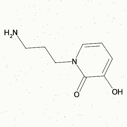 NCCCn1cccc(O)c1=O